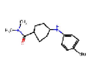 CN(C)C(=O)C1CCC(Nc2ccc(C(C)(C)C)cc2)CC1